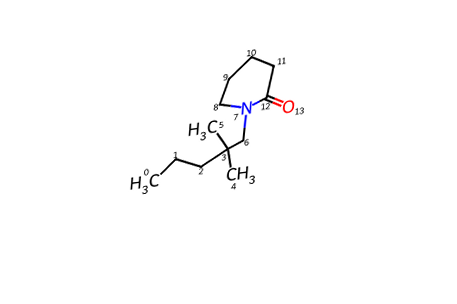 CCCC(C)(C)CN1CCCCC1=O